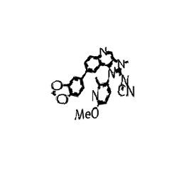 COc1ccc(-n2c(=NC#N)n(C)c3cnc4ccc(-c5ccc6c(c5)OCO6)cc4c32)c(C)n1